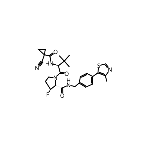 Cc1ncsc1-c1ccc(CNC(=O)[C@@H]2[C@@H](F)CCN2C(=O)[C@@H](NC(=O)C2(C#N)CC2)C(C)(C)C)cc1